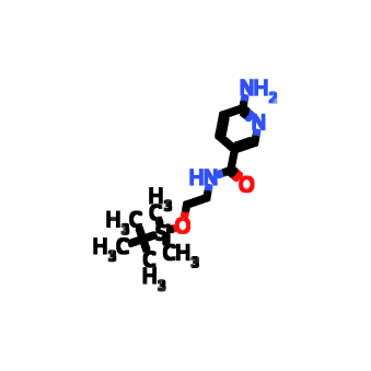 CC(C)(C)[Si](C)(C)OCCNC(=O)c1ccc(N)nc1